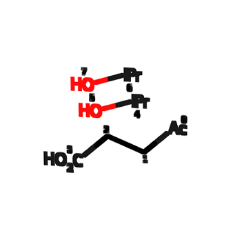 CC(=O)CCC(=O)O.CC(C)O.CC(C)O